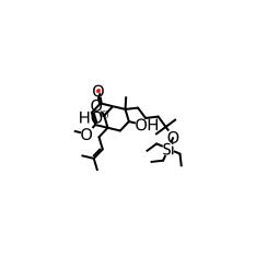 CC[Si](CC)(CC)OC(C)(C)CCCC1(C)C(O)CC2(CC=C(C)C)C(OC)=CC(=O)C1[C@]2(O)OC